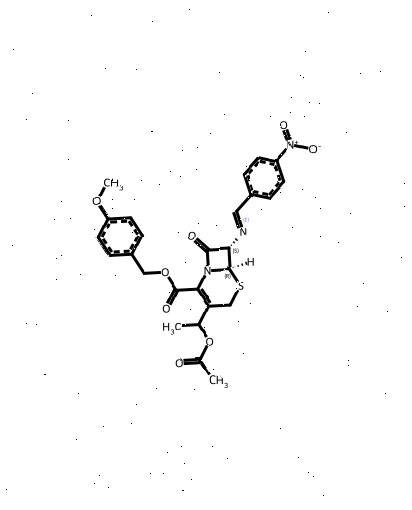 COc1ccc(COC(=O)C2=C(C(C)OC(C)=O)CS[C@@H]3[C@@H](/N=C/c4ccc([N+](=O)[O-])cc4)C(=O)N23)cc1